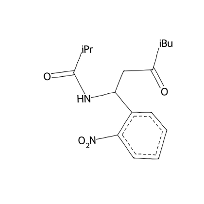 CCC(C)C(=O)CC(NC(=O)C(C)C)c1ccccc1[N+](=O)[O-]